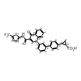 O=C(Nc1nnc(C(F)(F)F)s1)c1cn(-c2cccc(-c3ccc(C4C[C@H]4C(=O)O)cc3)c2)c2ncccc2c1=O